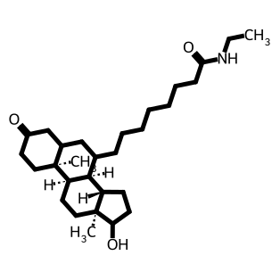 CCNC(=O)CCCCCCCC1CC2CC(=O)CC[C@]2(C)[C@@H]2CC[C@]3(C)C(O)CC[C@H]3[C@H]12